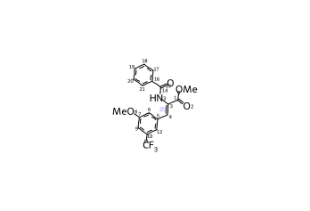 COC(=O)/C(=C/c1cc(OC)cc(C(F)(F)F)c1)NC(=O)c1ccccc1